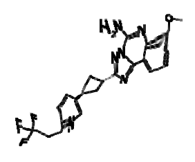 COc1cccc2c1nc(N)n1nc([C@H]3C[C@H](c4ccc(CC(F)(F)F)nc4)C3)nc21